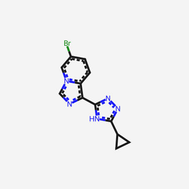 Brc1ccc2c(-c3nnc(C4CC4)[nH]3)ncn2c1